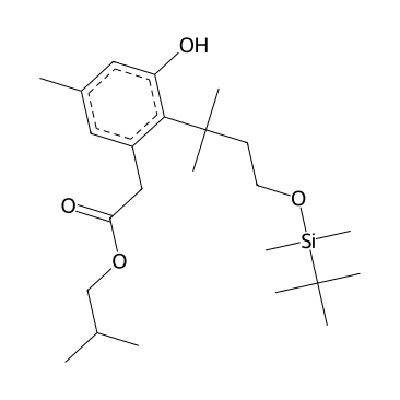 Cc1cc(O)c(C(C)(C)CCO[Si](C)(C)C(C)(C)C)c(CC(=O)OCC(C)C)c1